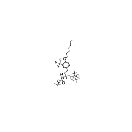 CCCCCCCOc1ccc(CC[C@](C)(COP(=O)(C(C)(C)C)C(C)(C)C)NC(=O)OC(C)(C)C)cc1C(F)(F)F